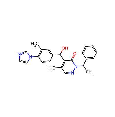 Cc1cc(C(O)c2c(C)cnn(C(C)c3ccccc3)c2=O)ccc1-n1ccnc1